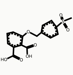 CS(=O)(=O)c1ccc(COc2cccc(C(=O)O)c2C(=O)O)cc1